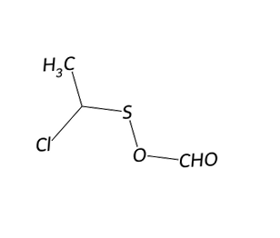 CC(Cl)SOC=O